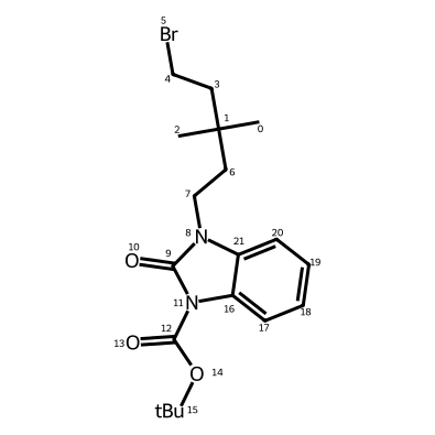 CC(C)(CCBr)CCn1c(=O)n(C(=O)OC(C)(C)C)c2ccccc21